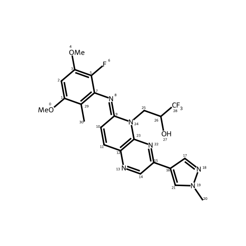 COc1cc(OC)c(F)c(/N=c2\ccc3ncc(-c4cnn(C)c4)nc3n2CC(O)C(F)(F)F)c1C